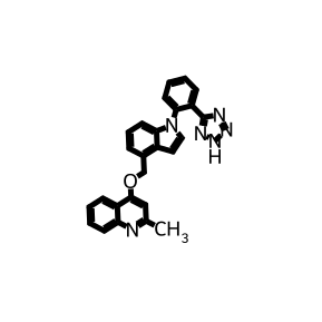 Cc1cc(OCc2cccc3c2ccn3-c2ccccc2-c2nn[nH]n2)c2ccccc2n1